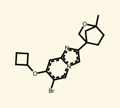 CC12CCC(c3cn4cc(Br)c(OC5CCC5)cc4n3)(CO1)C2